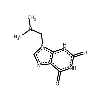 CN(C)Cn1cnc2c(=O)[nH]c(=O)[nH]c21